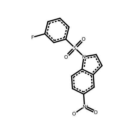 O=[N+]([O-])c1ccc2c(ccn2S(=O)(=O)c2cccc(F)c2)c1